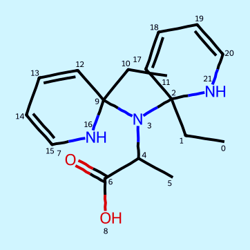 CCC1(N(C(C)C(=O)O)C2(CC)C=CC=CN2)C=CC=CN1